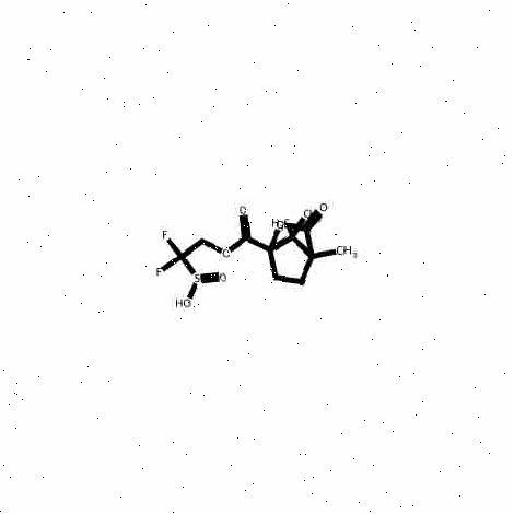 CC12CCC(C(=O)OCC(F)(F)S(=O)O)(OC1=O)C2(C)C